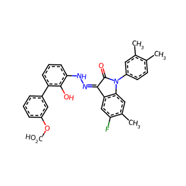 Cc1ccc(N2C(=O)C(=NNc3cccc(-c4cccc(OC(=O)O)c4)c3O)c3cc(F)c(C)cc32)cc1C